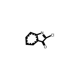 O=C1C(Cl)=Nc2ccccc21